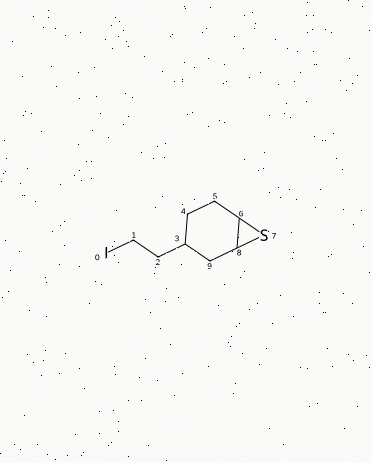 ICCC1CCC2SC2C1